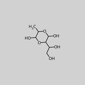 CC1OC(O)C(C(O)CO)OC1O